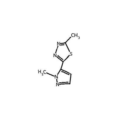 Cc1nnc(-c2ccnn2C)s1